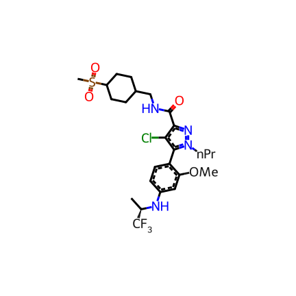 CCCn1nc(C(=O)NCC2CCC(S(C)(=O)=O)CC2)c(Cl)c1-c1ccc(N[C@H](C)C(F)(F)F)cc1OC